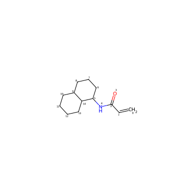 C=CC(=O)NC1CCCC2CCCCC21